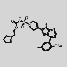 COc1ccc(F)cc1-c1ccnc2[nH]c(C3=CCN(S(=O)(=O)NC(=O)OCCN4CCCC4)CC3)cc12